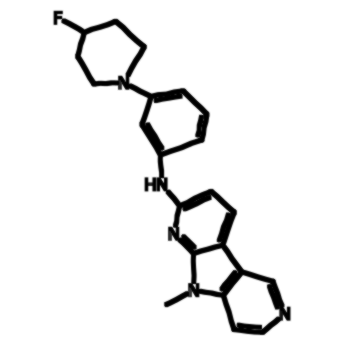 Cn1c2ccncc2c2ccc(Nc3cccc(N4CCC(F)CC4)c3)nc21